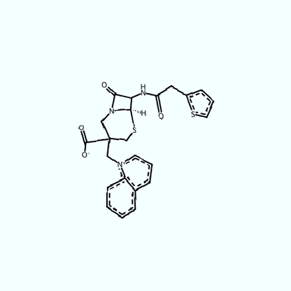 O=C(Cc1cccs1)NC1C(=O)N2CC(C[n+]3cccc4ccccc43)(C(=O)[O-])CS[C@H]12